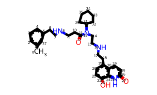 Cc1cccc(CCNCCC(=O)N(CCNCCc2ccc(O)c3[nH]c(=O)ccc23)C2CCCCC2)c1